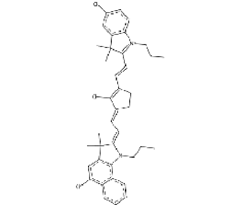 CCCN1/C(=C/C=C2\CCC(/C=C/C3=[N+](CCC)c4ccc(Cl)cc4C3(C)C)=C2Cl)C(C)(C)c2cc(Cl)c3ccccc3c21